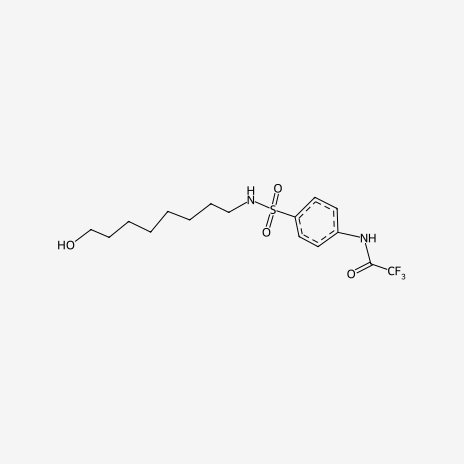 O=C(Nc1ccc(S(=O)(=O)NCCCCCCCCO)cc1)C(F)(F)F